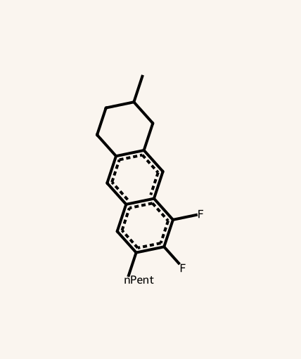 CCCCCc1cc2cc3c(cc2c(F)c1F)CC(C)CC3